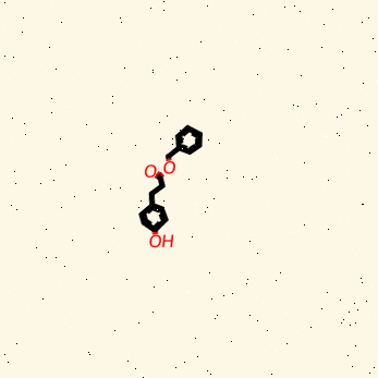 O=C(CCc1ccc(O)cc1)OCc1ccccc1